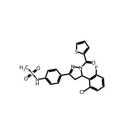 CS(=O)(=O)Nc1ccc(C2=NN(C(=O)c3cccs3)C(c3c(F)cccc3Cl)C2)cc1